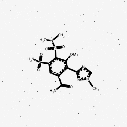 COc1c(-c2ncn(C)n2)c(C(N)=O)cc(S(N)(=O)=O)c1S(=O)(=O)N(C)C